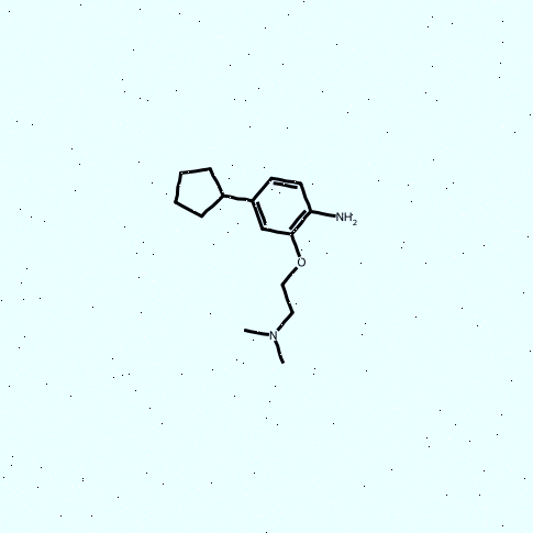 CN(C)CCOc1cc(C2CCCC2)ccc1N